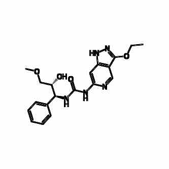 CCOc1n[nH]c2cc(NC(=O)N[C@@H](c3ccccc3)[C@@H](O)COC)ncc12